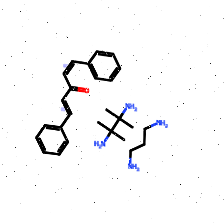 CC(C)(N)C(C)(C)N.NCCCN.O=C(/C=C\c1ccccc1)/C=C/c1ccccc1